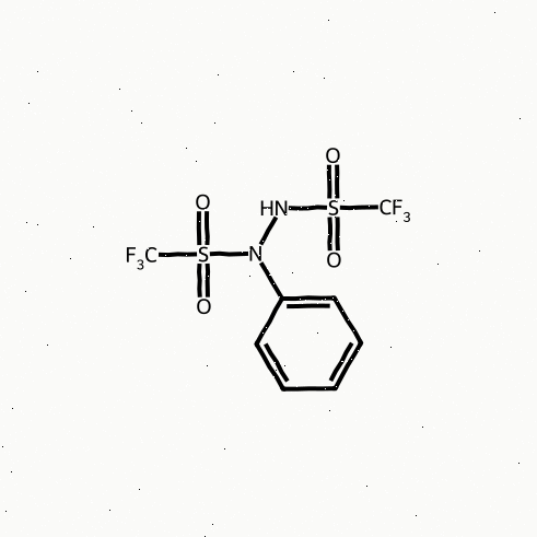 O=S(=O)(NN(c1ccccc1)S(=O)(=O)C(F)(F)F)C(F)(F)F